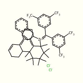 CC12C(=C3Cc4ccccc4C3=C3C=CCCC31)[C](C)([Zr+2](=[C](c1cc(C(F)(F)F)cc(C(F)(F)F)c1)c1cc(C(F)(F)F)cc(C(F)(F)F)c1)[CH]1C=CC=C1)C(C)(C)C(C)(C)C2(C)C.[Cl-].[Cl-]